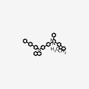 CC1(C)c2ccccc2-c2ccc(-c3cc(-c4ccccc4)nc(-c4ccc(-c5ccc(N(c6ccc(-c7ccc(-c8ccccc8)cc7)cc6)c6cccc7ccccc67)cc5)cc4)n3)cc21